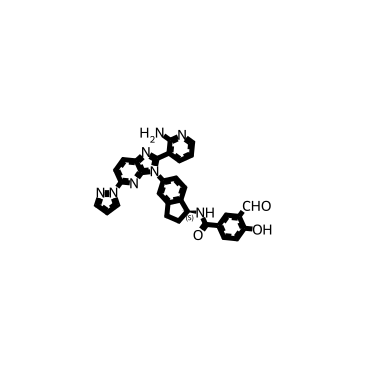 Nc1ncccc1-c1nc2ccc(-n3cccn3)nc2n1-c1ccc2c(c1)CC[C@@H]2NC(=O)c1ccc(O)c(C=O)c1